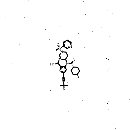 C=S(=O)(c1cccnc1)N1CCC(N(c2cc(C#CC(C)(C)C)sc2C(=O)O)C(=O)[C@H]2CC[C@H](C)CC2)CC1